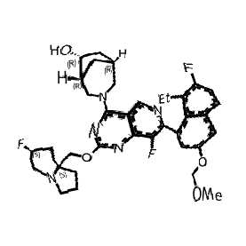 CCc1c(F)ccc2cc(OCOC)cc(-c3ncc4c(N5C[C@@H]6C[C@H](C5)[C@H](O)C6)nc(OC[C@@]56CCCN5C[C@@H](F)C6)nc4c3F)c12